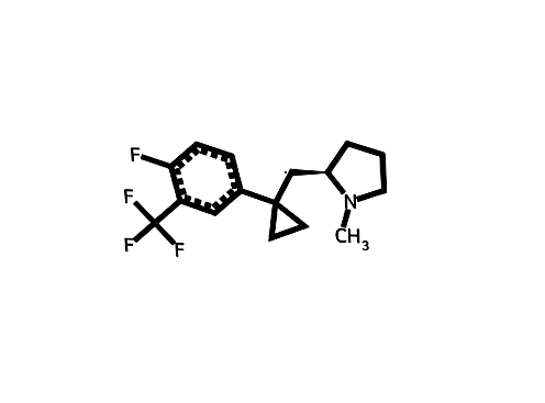 CN1CCC[C@@H]1[CH]C1(c2ccc(F)c(C(F)(F)F)c2)CC1